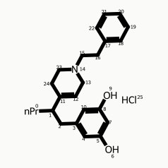 CCCC(Cc1cc(O)cc(O)c1)C1=CCN(CCc2ccccc2)CC1.Cl